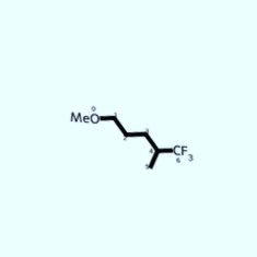 COCCCC(C)C(F)(F)F